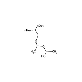 CCCCCCCCC(CCCCCC)COC(C)OC(C)O